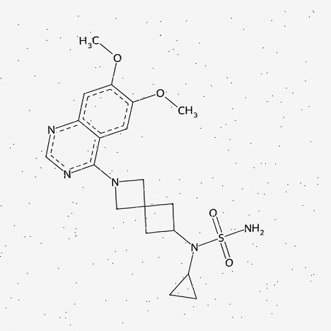 COc1cc2ncnc(N3CC4(CC(N(C5CC5)S(N)(=O)=O)C4)C3)c2cc1OC